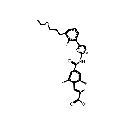 CCOCCCc1cccc(-c2csc(NC(=O)c3cc(F)c(C=C(C)C(=O)O)c(F)c3)n2)c1F